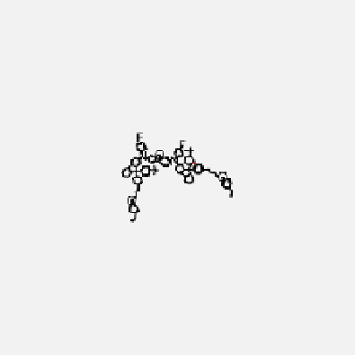 C=Cc1ccc(OCCCC2=CC=C(C3(c4ccc(C(C)(C)C)cc4)C4=C(C=CCC4)C4CCC(N(c5ccc(F)cc5)c5ccc6c(c5)oc5cc(N(C7=CCC(F)C=C7)C7=CC8=C(CC7)C7=C(C=CCC7)C8(C7=CC=C(C(C)(C)C)CC7)c7ccc(CCCCOC8=CCC(C=C)C=C8)cc7)ccc56)=CC43)CC2)cc1